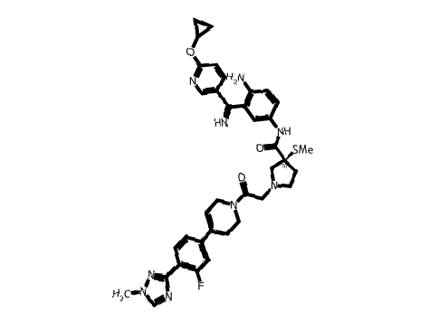 CS[C@@]1(C(=O)Nc2ccc(N)c(C(=N)c3ccc(OC4CC4)nc3)c2)CCN(CC(=O)N2CC=C(c3ccc(-c4ncn(C)n4)c(F)c3)CC2)C1